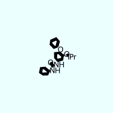 CC(C)Oc1cc(NC(=O)Nc2ccccc2)ccc1Oc1ccccc1